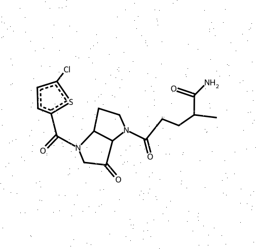 CC(C[CH]C(=O)N1CCC2C1C(=O)CN2C(=O)c1ccc(Cl)s1)C(N)=O